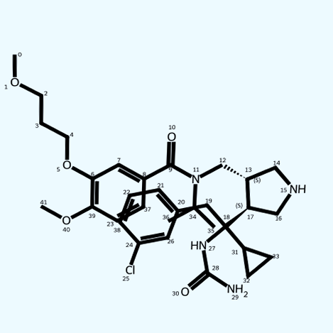 COCCCOc1cc(C(=O)N(C[C@@H]2CNC[C@H]2C(Cc2cccc(Cl)c2)(NC(N)=O)C2CC2)C(C)C)ccc1OC